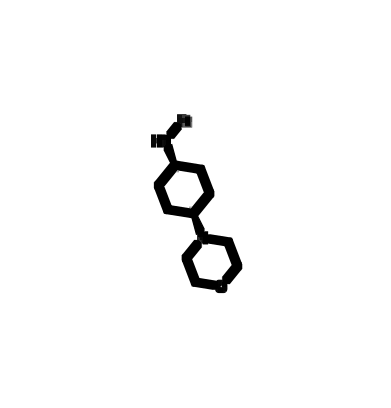 CCN[C@H]1CC[C@@H](N2CCOCC2)CC1